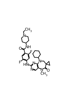 CCN1CCC(NC(=O)c2cc(F)c(Nc3ncc4c(n3)N(C3CCCCC3)CC3(CC3)C(=O)N4C)cc2F)CC1